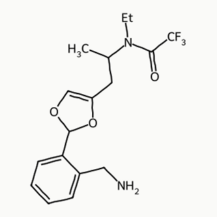 CCN(C(=O)C(F)(F)F)C(C)CC1=COC(c2ccccc2CN)O1